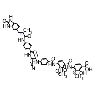 COc1c(NC(=O)c2ccc(NC(=O)c3ccc(NC(=O)[C@H](CC#N)NC(=O)c4ccc(NC(=O)/C(C)=C/c5ccc6[nH]c(=O)[nH]c6c5)cc4)cc3)c(OC)c2O)ccc(C(=O)O)c1O